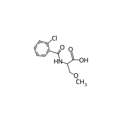 COCC(NC(=O)c1ccccc1Cl)C(=O)O